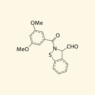 COc1cc(OC)cc(C(=O)N2Sc3ccccc3C2C=O)c1